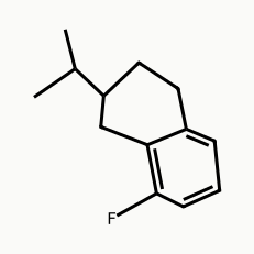 CC(C)C1CCc2cccc(F)c2C1